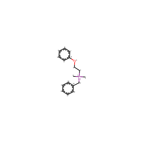 C[PH](C)(CCOc1ccccc1)Cc1ccccc1